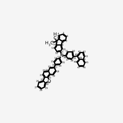 CC1(C)c2ccccc2-c2cc(N(c3ccc(-c4ccc5c(ccc6c7ccccc7oc56)c4)cc3)c3ccc(-c4cccc5ccccc45)cc3)ccc21